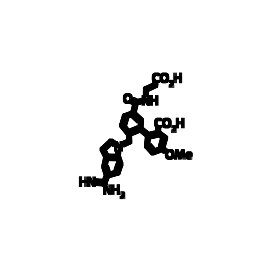 COc1ccc(-c2cc(C(=O)NCCC(=O)O)ccc2CN2CCc3cc(C(=N)N)ccc32)c(C(=O)O)c1